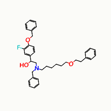 OC(CN(CCCCCCOCCc1ccccc1)Cc1ccccc1)c1ccc(OCc2ccccc2)c(F)c1